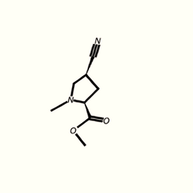 COC(=O)[C@@H]1C[C@H](C#N)CN1C